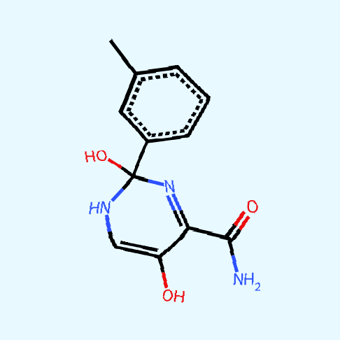 Cc1cccc(C2(O)N=C(C(N)=O)C(O)=CN2)c1